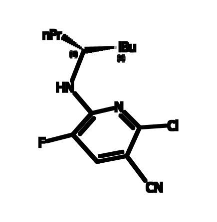 CCC[C@@H](Nc1nc(Cl)c(C#N)cc1F)[C@@H](C)CC